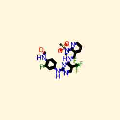 CN(c1ncccc1CNc1nc(Nc2ccc(NC=O)c(F)c2)ncc1C(F)(F)F)S(C)(=O)=O